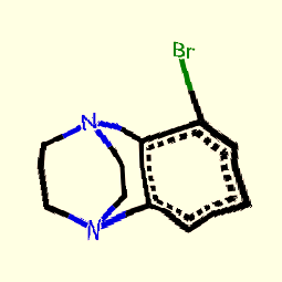 Brc1cccc2c1N1CCN2CC1